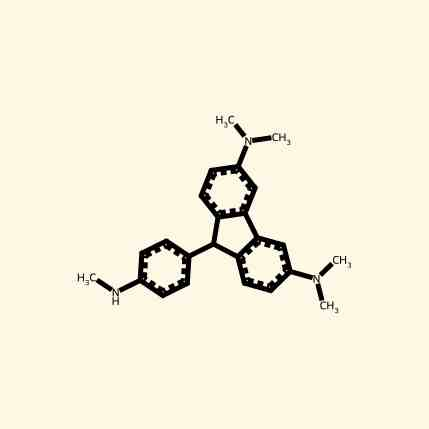 CNc1ccc(C2c3ccc(N(C)C)cc3-c3cc(N(C)C)ccc32)cc1